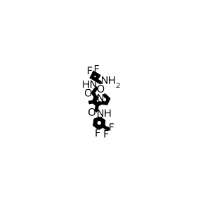 Cc1c(C(=O)Nc2ccc(F)c(C(F)F)c2)c2n(c1C(=O)C(=O)NC1(CN)CC(F)(F)C1)CCC2